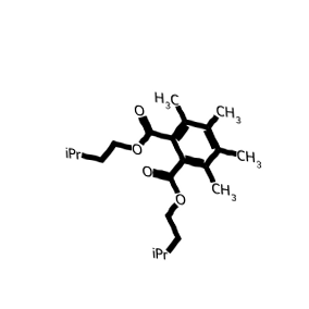 Cc1c(C)c(C)c(C(=O)OCCC(C)C)c(C(=O)OCCC(C)C)c1C